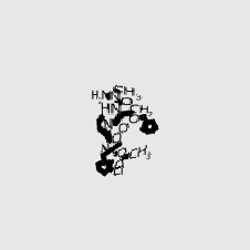 CC(=O)OC[C@@]1(Cc2cccc(Cl)c2)COC(C2CCCN2C(=O)C(NC(=O)N(C)N)[C@@H](C)OCc2ccccc2)=N1